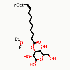 CCCCCCCC/C=C\CCCCCCCC(=O)O[C@@H]([C@H](O)[C@@H](O)CO)[C@H](O)CO.CCOCC